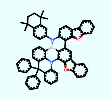 CC1(C)CCC(C)(C)c2cc(N3B4c5cccc6c5N(c5ccccc5C6(c5ccccc5)c5ccccc5)c5c4c(cc4c5oc5ccccc54)-c4c3ccc3c4oc4ccccc43)ccc21